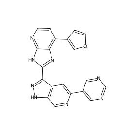 c1ncc(-c2cc3c(-c4nc5c(-c6ccoc6)ccnc5[nH]4)n[nH]c3cn2)cn1